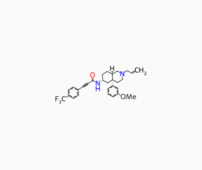 C=CCN1CC[C@@]2(c3cccc(OC)c3)C[C@H](NC(=O)C#Cc3ccc(C(F)(F)F)cc3)CC[C@@H]2C1